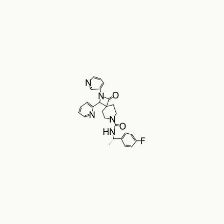 C[C@H](NC(=O)N1CCC2(CC1)C(=O)N(c1cccnc1)C2c1ccccn1)c1ccc(F)cc1